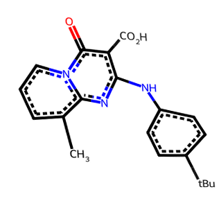 Cc1cccn2c(=O)c(C(=O)O)c(Nc3ccc(C(C)(C)C)cc3)nc12